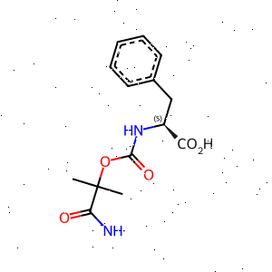 CC(C)(OC(=O)N[C@@H](Cc1ccccc1)C(=O)O)C([NH])=O